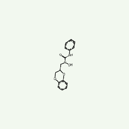 O=C(Nc1ccccc1)N(O)CC1COc2ccccc2O1